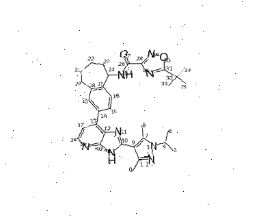 Cc1nn(C(C)C)c(C)c1-c1nc2c(-c3ccc4c(c3)CCCCC4NC(=O)c3noc(C(C)(C)C)n3)ccnc2[nH]1